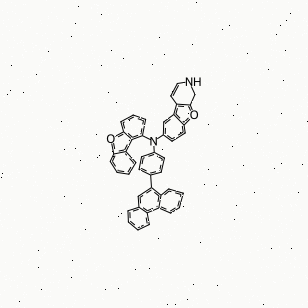 C1=Cc2c(oc3ccc(N(c4ccc(-c5cc6ccccc6c6ccccc56)cc4)c4cccc5oc6ccccc6c45)cc23)CN1